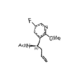 C=CC[C@@H](NC(C)=O)c1cc(F)cnc1OC